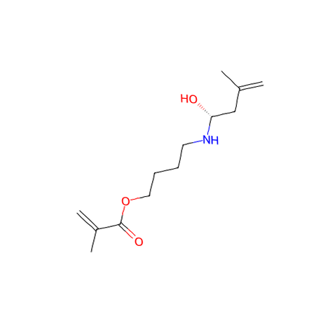 C=C(C)C[C@@H](O)NCCCCOC(=O)C(=C)C